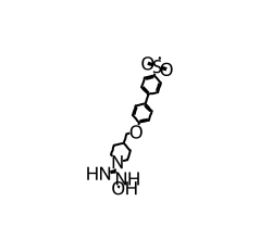 CS(=O)(=O)c1ccc(-c2ccc(OCC3CCN(C(=N)NO)CC3)cc2)cc1